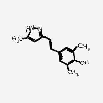 Cc1cc(C=Cc2cc(C)c(O)c(C)c2)n[nH]1